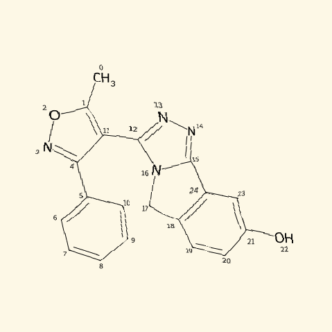 Cc1onc(-c2ccccc2)c1-c1nnc2n1Cc1ccc(O)cc1-2